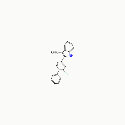 O=Cc1c(-c2ccc(-c3ccccc3)c(F)c2)[nH]c2ccccc12